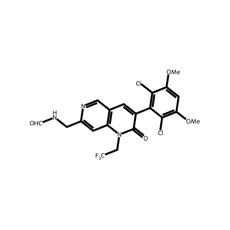 COc1cc(OC)c(Cl)c(-c2cc3cnc(CNC=O)cc3n(CC(F)(F)F)c2=O)c1Cl